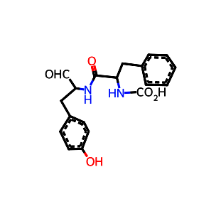 O=CC(Cc1ccc(O)cc1)NC(=O)C(Cc1ccccc1)NC(=O)O